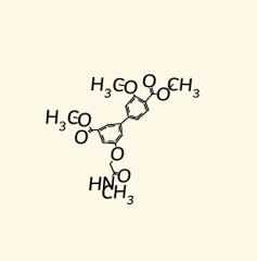 CNC(=O)COc1cc(C(=O)OC)cc(-c2ccc(C(=O)OC)c(OC)c2)c1